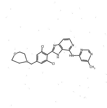 Cc1cc(Nc2nccc3nc(-c4c(Cl)cc(CN5CCOCC5)cc4Cl)[nH]c23)ncn1